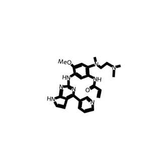 C=CC(=O)Nc1cc(Nc2nc(-c3cccnc3)c3cc[nH]c3n2)c(OC)cc1N(C)CCN(C)C